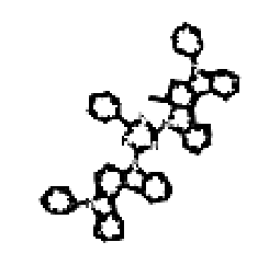 Cc1cc2c(c3ccccc3n2-c2ccccc2)c2c3ccccc3n(-c3nc(-c4ccccc4)nc(-n4c5ccccc5c5c6c7ccccc7n(-c7ccccc7)c6ccc54)n3)c12